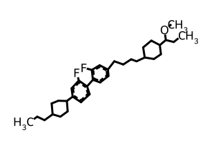 CCCC1CCC(c2ccc(-c3ccc(CCCCC4CCC(C(CC)OC)CC4)cc3F)c(F)c2)CC1